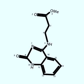 COC(=O)CCNc1nc(=O)[nH]c2ccccc12